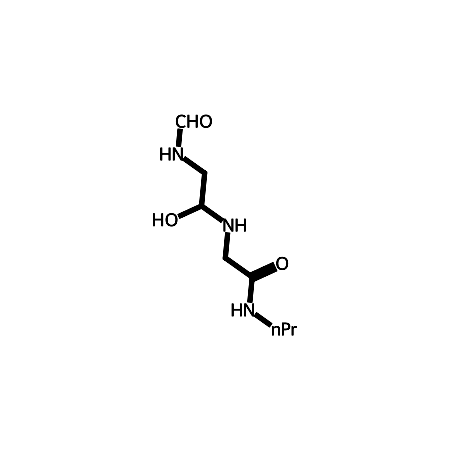 CCCNC(=O)CNC(O)CNC=O